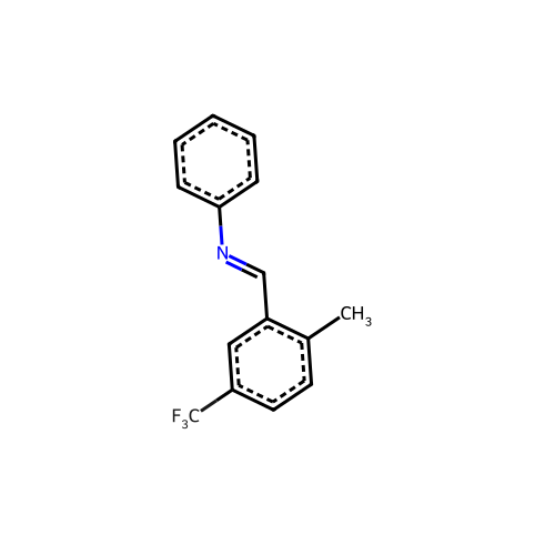 Cc1ccc(C(F)(F)F)cc1C=Nc1ccccc1